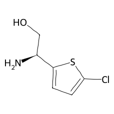 N[C@@H](CO)c1ccc(Cl)s1